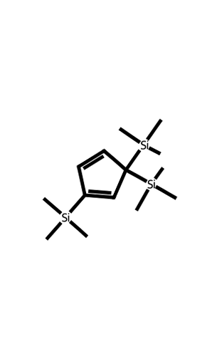 C[Si](C)(C)C1=CC([Si](C)(C)C)([Si](C)(C)C)C=C1